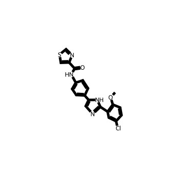 COc1ccc(Cl)cc1-c1ncc(-c2ccc(NC(=O)c3cscn3)cc2)[nH]1